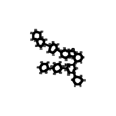 c1ccc(C2=NC(c3cccc4oc5cc(-c6ccc(-c7ccc8ccccc8c7)cc6)ccc5c34)NC(c3ccc(-c4ccccc4)cc3)=N2)cc1